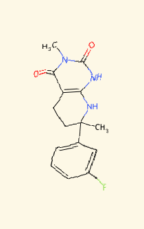 Cn1c(=O)[nH]c2c(c1=O)CCC(C)(c1cccc(F)c1)N2